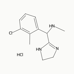 CNC(C1=NCCN1)c1cccc(Cl)c1C.Cl